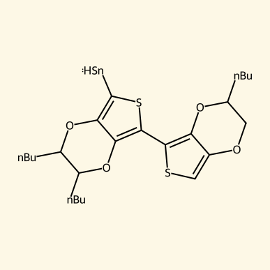 CCCCC1COc2csc(-c3s[c]([SnH])c4c3OC(CCCC)C(CCCC)O4)c2O1